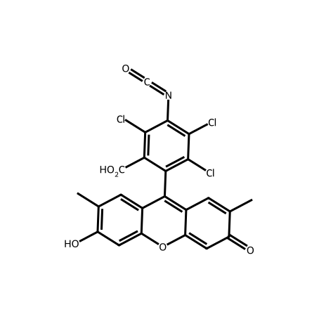 Cc1cc2c(-c3c(Cl)c(Cl)c(N=C=O)c(Cl)c3C(=O)O)c3cc(C)c(=O)cc-3oc2cc1O